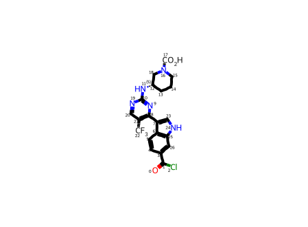 O=C(Cl)c1ccc2c(-c3nc(N[C@H]4CCCN(C(=O)O)C4)ncc3C(F)(F)F)c[nH]c2c1